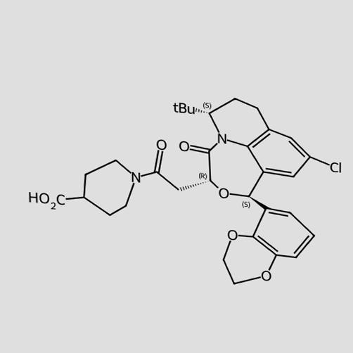 CC(C)(C)[C@@H]1CCc2cc(Cl)cc3c2N1C(=O)[C@@H](CC(=O)N1CCC(C(=O)O)CC1)O[C@@H]3c1cccc2c1OCCO2